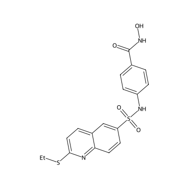 CCSc1ccc2cc(S(=O)(=O)Nc3ccc(C(=O)NO)cc3)ccc2n1